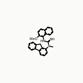 COc1ccc2ccccc2c1NC(=N)N(C)c1cccc2c1Cc1ccccc1-2